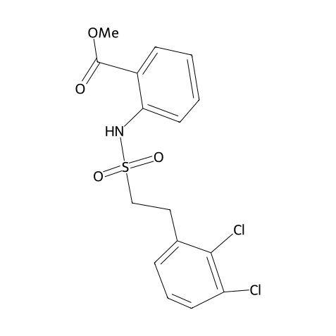 COC(=O)c1ccccc1NS(=O)(=O)CCc1cccc(Cl)c1Cl